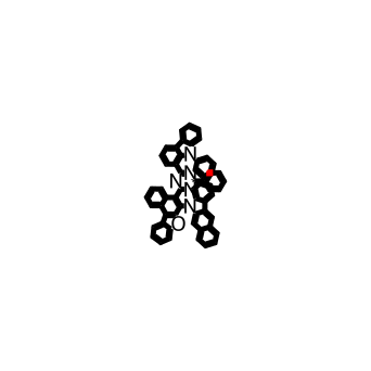 c1ccc(-c2nc(-c3c(-n4c5ccccc5c5cc6ccccc6cc54)c4oc5ccccc5c4c4ccccc34)nc(-c3cccc4c5ccccc5n(-c5ccccc5)c34)n2)cc1